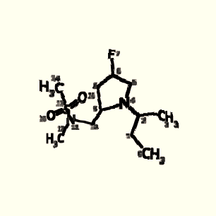 CCC(C)N1CC(F)CC1CN(C)S(C)(=O)=O